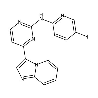 Ic1ccc(Nc2nccc(-c3cnc4ccccn34)n2)nc1